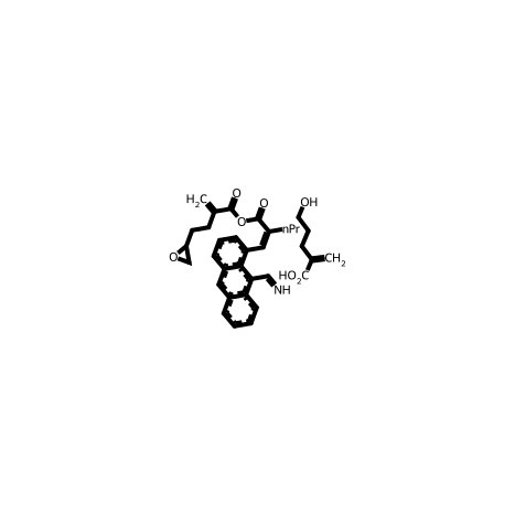 C=C(CCC1CO1)C(=O)OC(=O)C(=Cc1cccc2cc3ccccc3c(C=N)c12)CCC.C=C(CCCO)C(=O)O